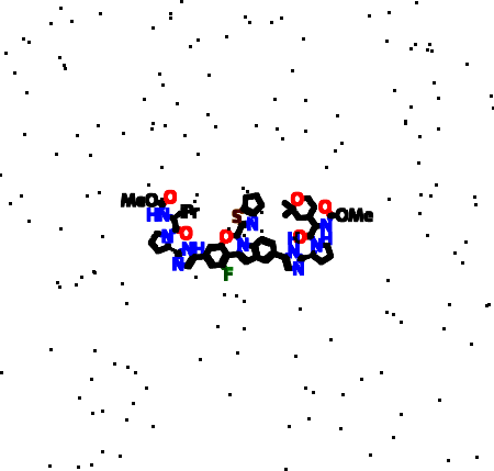 COC(=O)NC(C(=O)N1CCC[C@H]1c1ncc(-c2ccc3c(c2)cc2n3C(c3nc4c(s3)CCC4)Oc3cc(-c4cnc([C@@H]5CCCN5C(=O)[C@@H](NC(=O)OC)C(C)C)[nH]4)cc(F)c3-2)[nH]1)C1CCOC(C)(C)C1